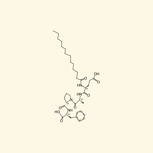 CCCCCCCCCCCCCC(=O)N[C@@H](CCC(=O)O)C(=O)N[C@@H](C)C(=O)N1CCC[C@H]1C(=O)N[C@@H](Cc1ccccc1)C(=O)O